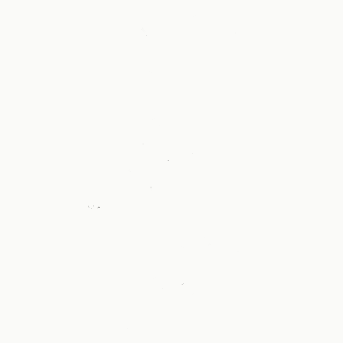 COc1ccc(C(C)(c2ccc(Oc3ccc(C(=O)c4ccc(C)cc4)cc3)cc2)c2ccc(Oc3ccc(C(=O)c4cccc(S(=O)(=O)O)c4)cc3S(=O)(=O)O)cc2)cc1